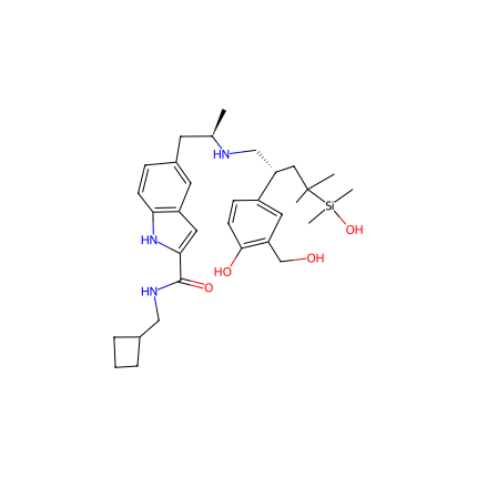 C[C@H](Cc1ccc2[nH]c(C(=O)NCC3CCC3)cc2c1)NC[C@H](CC(C)(C)[Si](C)(C)O)c1ccc(O)c(CO)c1